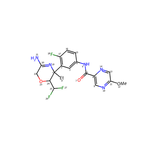 CCC1(c2cc(NC(=O)c3cnc(OC)cn3)ccc2F)N=C(N)COC1C(F)F